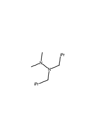 CC(C)CN(CC(C)C)N(C)C